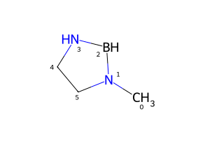 CN1BNCC1